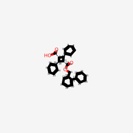 O=C(O)[C@@H]1[C@@H](c2ccccc2)[C@H](C(=O)OCc2ccccc2-c2ccccc2)[C@H]1c1ccccc1